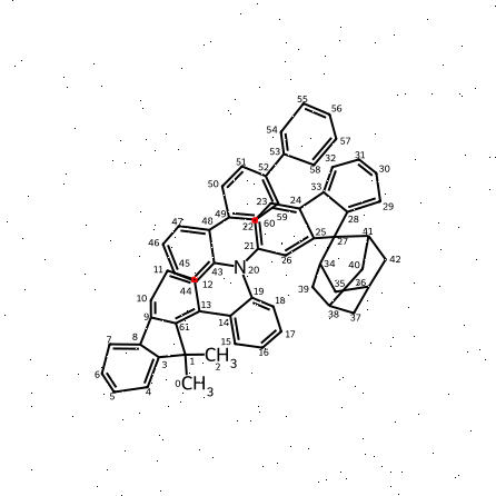 CC1(C)c2ccccc2-c2cccc(-c3ccccc3N(c3ccc4c(c3)C3(c5ccccc5-4)C4CC5CC(C4)CC3C5)c3ccccc3-c3ccc(-c4ccccc4)cc3)c21